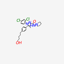 Cc1c(C(=O)NN2CCCCC2)nn(-c2ccc(Cl)cc2Cl)c1-c1ccc(CCCCCO)cc1